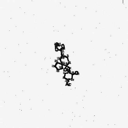 CC(=O)N1CCN(CC2(O)CCN(C(=O)OC(C)(C)C)CC23CCCC3)C(=O)C1